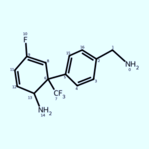 NCc1ccc(C2(C(F)(F)F)C=C(F)C=CC2N)cc1